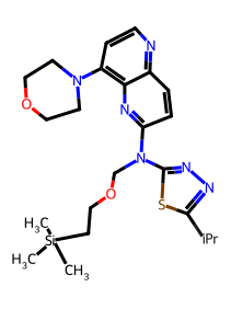 CC(C)c1nnc(N(COCC[Si](C)(C)C)c2ccc3nccc(N4CCOCC4)c3n2)s1